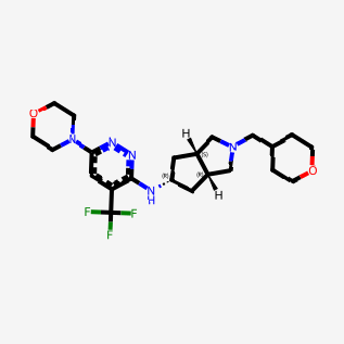 FC(F)(F)c1cc(N2CCOCC2)nnc1N[C@@H]1C[C@@H]2CN(CC3CCOCC3)C[C@@H]2C1